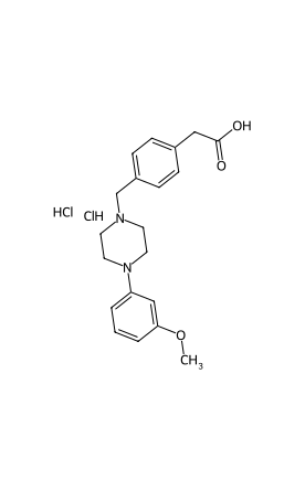 COc1cccc(N2CCN(Cc3ccc(CC(=O)O)cc3)CC2)c1.Cl.Cl